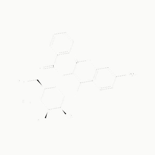 COc1ccc2c(O[C@H]3O[C@H](COC(C)=O)[C@@H](OC(C)=O)[C@H](OC(C)=O)[C@@H]3OC(C)=O)c(OC(=O)c3ccccc3)c(=O)oc2c1